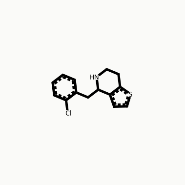 Clc1ccccc1CC1NCCc2sccc21